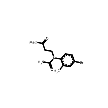 COC(=O)CCN(C(N)=O)c1ccc(Br)cc1C